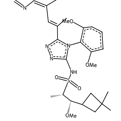 C=N/C=C(C)\C=C(/C)c1nnc(NS(=O)(=O)[C@@H](C)[C@@H](OC)C2CC(C)(C)C2)n1-c1c(OC)cccc1OC